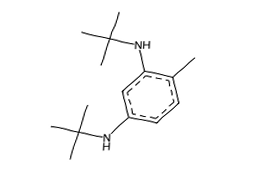 Cc1ccc(NC(C)(C)C)cc1NC(C)(C)C